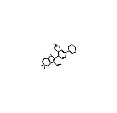 C=Cc1c(-c2ccc(C3=CCCCC3)cc2CN)sc2c1CC(C)(C)CC2